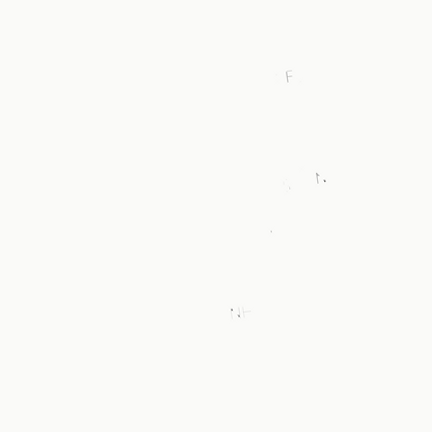 Cc1nc(-c2ccc(C(F)(F)F)cc2)sc1CSc1ccc2c(c1)CCCN2